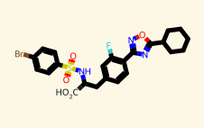 O=C(O)C(Cc1ccc(-c2noc(C3CCCCC3)n2)c(F)c1)NS(=O)(=O)c1ccc(Br)cc1